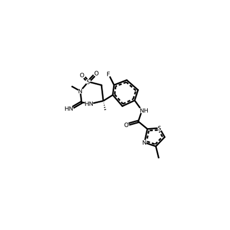 Cc1csc(C(=O)Nc2ccc(F)c([C@]3(C)CS(=O)(=O)N(C)C(=N)N3)c2)n1